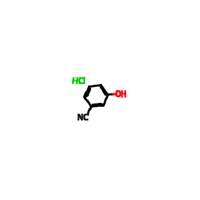 Cl.N#Cc1cccc(O)c1